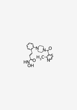 Cc1ncsc1C(=O)N1CCN(c2ccccc2C=CC(=O)NO)CC1